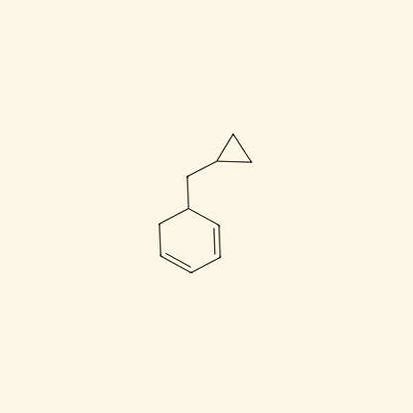 C1=CCC(CC2CC2)C=C1